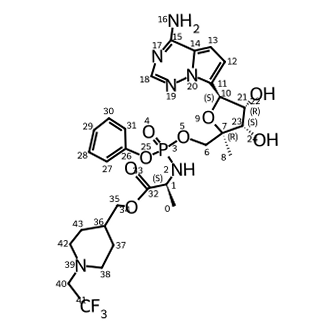 C[C@H](NP(=O)(OC[C@@]1(C)O[C@@H](c2ccc3c(N)ncnn23)[C@H](O)[C@@H]1O)Oc1ccccc1)C(=O)OCC1CCN(CC(F)(F)F)CC1